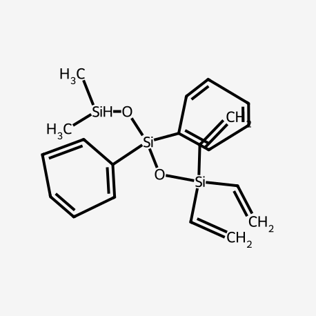 C=C[Si](C=C)(C=C)O[Si](O[SiH](C)C)(c1ccccc1)c1ccccc1